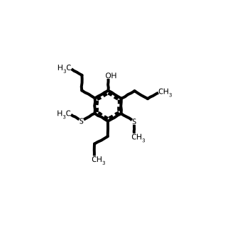 CCCc1c(O)c(CCC)c(SC)c(CCC)c1SC